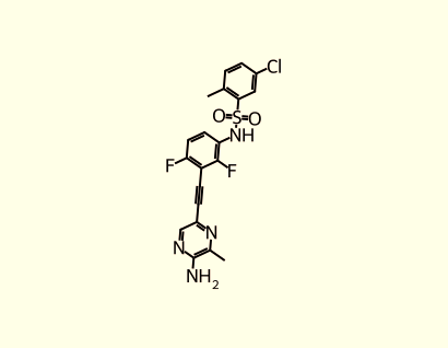 Cc1ccc(Cl)cc1S(=O)(=O)Nc1ccc(F)c(C#Cc2cnc(N)c(C)n2)c1F